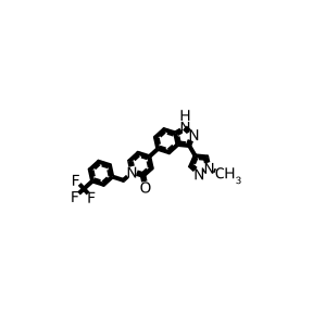 Cn1cc(-c2n[nH]c3ccc(-c4ccn(Cc5cccc(C(F)(F)F)c5)c(=O)c4)cc23)cn1